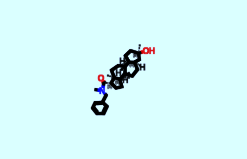 CN(Cc1ccccc1)C(=O)[C@H]1CC[C@H]2[C@@H]3CC[C@@H]4C[C@](C)(O)CC[C@@H]4[C@H]3CC[C@]12C